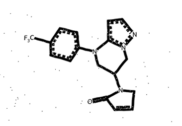 O=C1C=CCN1C1CN(c2ccc(C(F)(F)F)cc2)c2ccnn2C1